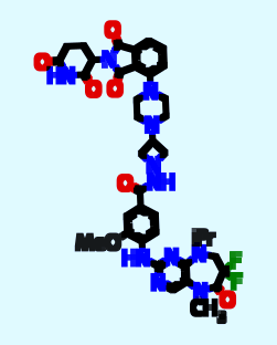 COc1cc(C(=O)NN2CC(N3CCN(c4cccc5c4C(=O)N(C4CCC(=O)NC4=O)C5=O)CC3)C2)ccc1Nc1ncc2c(n1)N(C(C)C)CC(F)(F)C(=O)N2C